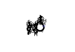 CCOc1ccc2nc(C(F)(F)F)c(O[C@@H]3C[C@H]4C(=O)N[C@]5(C(=O)NS(=O)(=O)C6(C)CC6)C[C@H]5/C=C\CC[C@H](C)C[C@@H](COC)[C@H](NC(=O)O)C(=O)N4C3)nc2c1